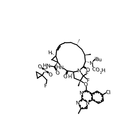 CCC(C)N(C(=O)O)[C@@H]1C(=O)N2[C@@H](C[C@@](C)(Oc3nc4nc(C)cn4c4ccc(Cl)cc34)C2(F)F)C(=O)N[C@]2(C(=O)NS(=O)(=O)C3(CF)CC3)C[C@H]2/C=C\CC[C@H](C)C[C@H]1C